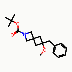 COC1(Cc2ccccc2)CC2(CN(C(=O)OC(C)(C)C)C2)C1